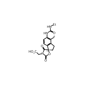 CCNC(=O)Nc1ccc2c(c1F)CC[C@]21OC(=O)N(CC(=O)O)C1=O